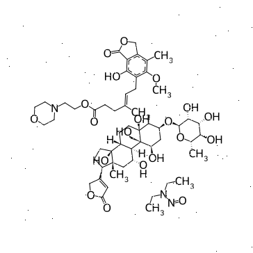 CCN(CC)N=O.COc1c(C)c2c(c(O)c1C/C=C(\C)CCC(=O)OCCN1CCOCC1)C(=O)OC2.C[C@@H]1O[C@@H](O[C@H]2C[C@@H](O)[C@]3(CO)[C@H]4[C@H](O)C[C@]5(C)[C@@H](C6=CC(=O)OC6)CC[C@]5(O)[C@@H]4CC[C@]3(O)C2)[C@H](O)[C@H](O)[C@H]1O